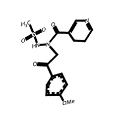 COc1ccc(C(=O)CN(NS(C)(=O)=O)C(=O)C2=CN=CCC2)cc1